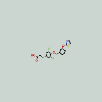 O=C(O)CCc1cc(F)c(OCc2cccc(Oc3nccs3)c2)c(F)c1